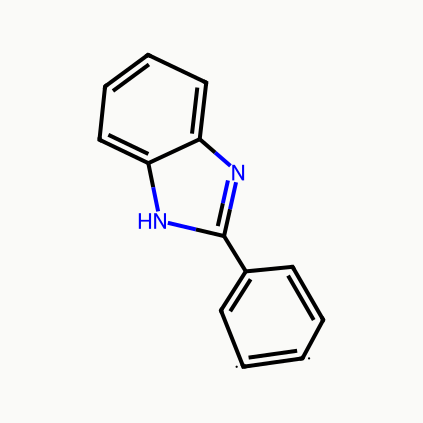 [c]1[c]cc(-c2nc3ccccc3[nH]2)cc1